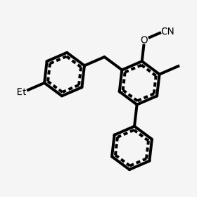 CCc1ccc(Cc2cc(-c3ccccc3)cc(C)c2OC#N)cc1